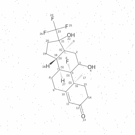 C[C@]12CC(O)[C@]3(F)[C@@H](CCC4=CC(=O)CC[C@@]43C)[C@@H]1CCC2(O)C(F)(F)F